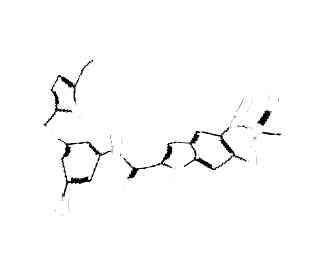 Cc1ccc(Oc2cc(Cl)cc(NC(=O)c3cc4cc(NS(C)(=O)=O)c(Cl)cc4s3)c2)s1